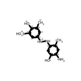 Cc1cc(N)c(O)cc1NNc1cc(C)c(O)c(S(=O)(=O)O)c1